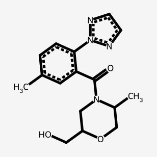 Cc1ccc(-n2nccn2)c(C(=O)N2CC(CO)OCC2C)c1